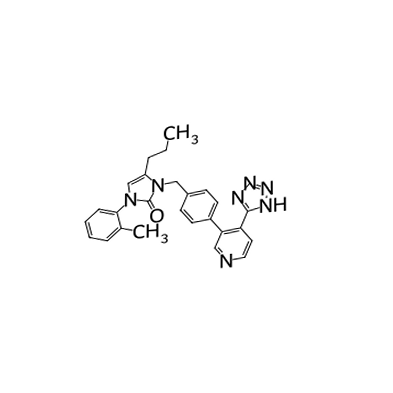 CCCc1cn(-c2ccccc2C)c(=O)n1Cc1ccc(-c2cnccc2-c2nnn[nH]2)cc1